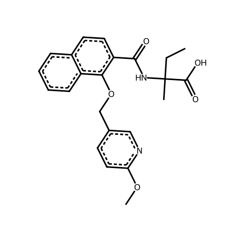 CCC(C)(NC(=O)c1ccc2ccccc2c1OCc1ccc(OC)nc1)C(=O)O